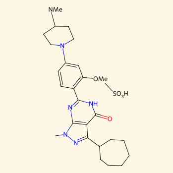 CNC1CCN(c2ccc(-c3nc4c(c(C5CCCCCC5)nn4C)c(=O)[nH]3)c(OC)c2)CC1.CS(=O)(=O)O